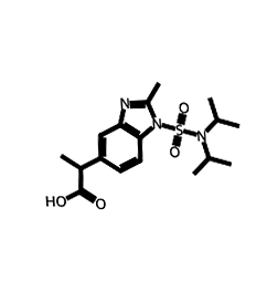 Cc1nc2cc(C(C)C(=O)O)ccc2n1S(=O)(=O)N(C(C)C)C(C)C